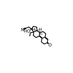 CCC12CCC3=C4CCC(=O)C=C4CC[C@H]3[C@@H]1CC[C@@]2(O)CC#N